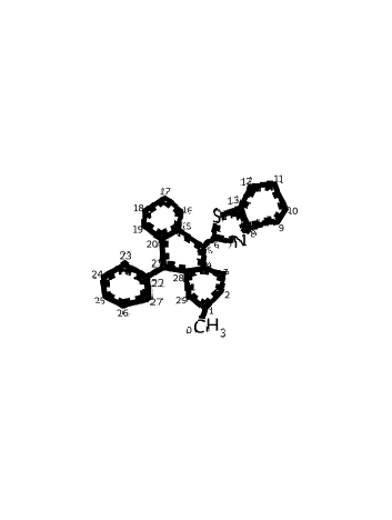 Cc1ccc2c(-c3nc4ccccc4s3)c3ccccc3c(-c3ccccc3)c2c1